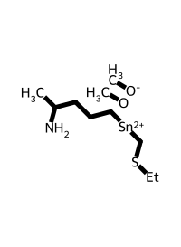 CCS[CH2][Sn+2][CH2]CCC(C)N.C[O-].C[O-]